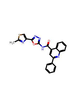 Cc1nc(-c2nnc(NC(=O)c3cc(-c4ccccc4)nc4ccccc34)o2)cs1